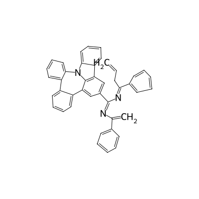 C=CC/C(=N\C(=N/C(=C)c1ccccc1)c1cc2c3c(c1)c1ccccc1n3-c1ccccc1-c1ccccc1-2)c1ccccc1